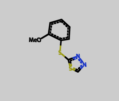 COc1ccccc1Sc1nncs1